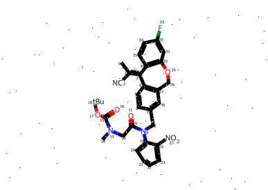 C/C(C#N)=C1/c2ccc(CN(C(=O)CN(C)C(=O)OC(C)(C)C)c3ccccc3[N+](=O)[O-])cc2COc2cc(F)ccc21